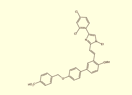 CCn1cc(-c2ccc(Cl)cc2Cl)nc1/C=C/c1cc(-c2ccc(OCc3ccc(C(=O)O)cc3)cc2)ccc1OC